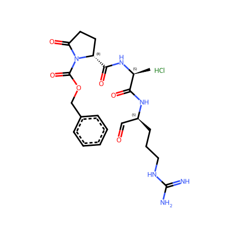 C[C@H](NC(=O)[C@H]1CCC(=O)N1C(=O)OCc1ccccc1)C(=O)N[C@H](C=O)CCCNC(=N)N.Cl